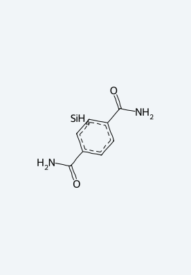 NC(=O)c1ccc(C(N)=O)cc1.[SiH4]